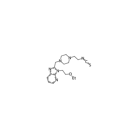 CCOCCn1c(CN2CCN(CCN=C=S)CC2)nc2cccnc21